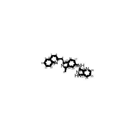 Cc1nn(Cc2ccc3ccccc3n2)c2ccc(Nc3n[nH]c4cccnc34)cc12